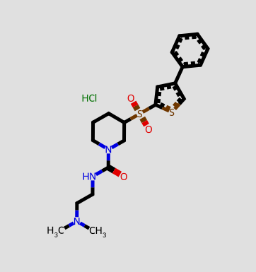 CN(C)CCNC(=O)N1CCCC(S(=O)(=O)c2cc(-c3ccccc3)cs2)C1.Cl